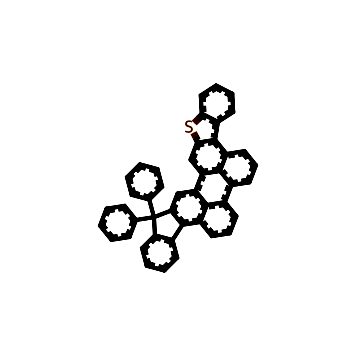 c1ccc(C2(c3ccccc3)c3ccccc3-c3c2cc2c4cc5sc6ccccc6c5c5cccc(c6cccc3c62)c45)cc1